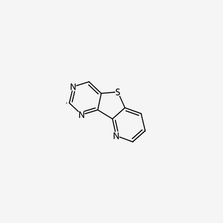 [c]1ncc2sc3cccnc3c2n1